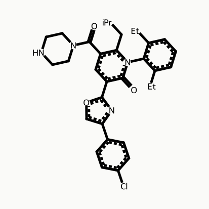 CCc1cccc(CC)c1-n1c(CC(C)C)c(C(=O)N2CCNCC2)cc(-c2nc(-c3ccc(Cl)cc3)co2)c1=O